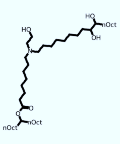 CCCCCCCCC(CCCCCCCC)OC(=O)CCCCCCCN(CCO)CCCCCCCCC(O)C(O)CCCCCCCC